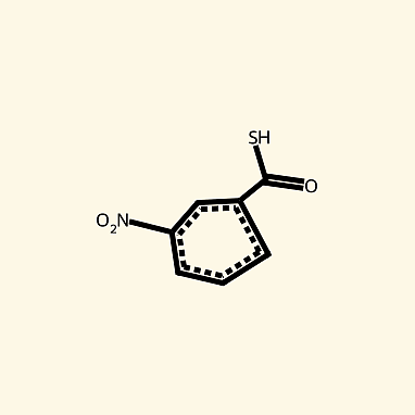 O=C(S)c1cccc([N+](=O)[O-])c1